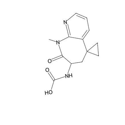 CN1C(=O)C(NC(=O)O)CC2(CC2)c2cccnc21